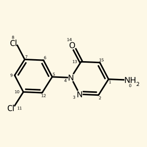 Nc1cnn(-c2cc(Cl)cc(Cl)c2)c(=O)c1